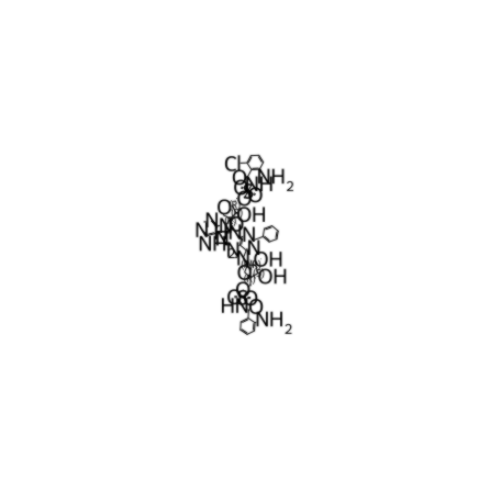 Nc1ccccc1C(=O)NS(=O)(=O)OC[C@H]1O[C@@H](n2cnc3c(NO[C@]4(n5cnc6c(N)ncnc65)CO[C@H](COS(=O)(=O)NC(=O)c5c(N)cccc5Cl)[C@H]4O)nc(-c4ccccc4)nc32)[C@H](O)[C@@H]1O